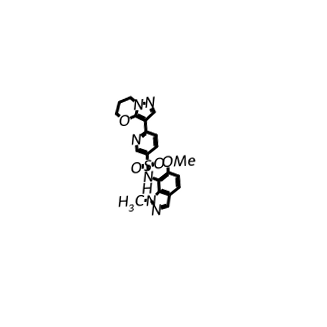 COc1ccc2cnn(C)c2c1NS(=O)(=O)c1ccc(-c2cnn3c2OCCC3)nc1